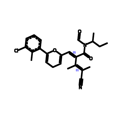 CCC(C)N(C=O)C(=O)C(=C/C1=CCC=C(c2cccc(Cl)c2C)O1)/C(C)=C(\C)C#N